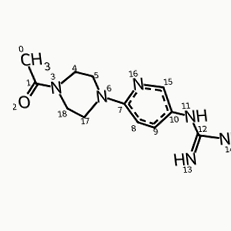 CC(=O)N1CCN(c2ccc(NC(=N)N)cn2)CC1